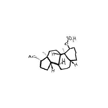 CC(=O)[C@H]1CC[C@H]2[C@@H]3CC[C@H]4CCCC(OS(=O)(=O)O)[C@]4(C)[C@H]3CC[C@]12C